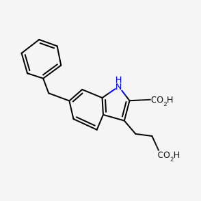 O=C(O)CCc1c(C(=O)O)[nH]c2cc(Cc3ccccc3)ccc12